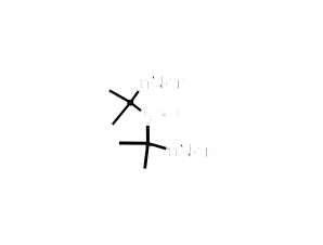 CCCCCCCCCC(C)(C)[S+]([O-])C(C)(C)CCCCCCCCC